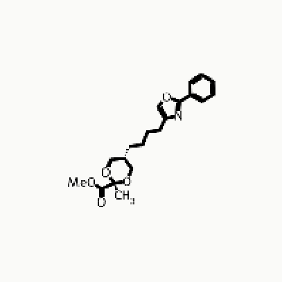 COC(=O)[C@]1(C)OC[C@H](CCCCc2coc(-c3ccccc3)n2)CO1